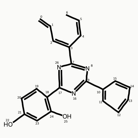 C=C/C=C(\C=C/C)c1nc(-c2ccccc2)nc(-c2ccc(O)cc2O)n1